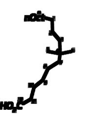 CCCCCCCCCCCC(C)(C)CCCCCC(=O)O